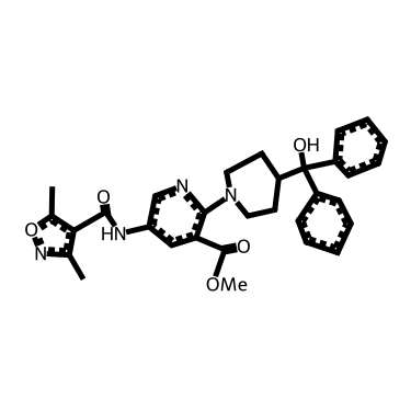 COC(=O)c1cc(NC(=O)c2c(C)noc2C)cnc1N1CCC(C(O)(c2ccccc2)c2ccccc2)CC1